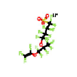 O=S(=O)([O-])C(F)(F)C(F)(F)C(F)(F)C(F)(F)OC(F)(C(F)(F)F)C(F)(F)OC(F)=C(F)F.[Li+]